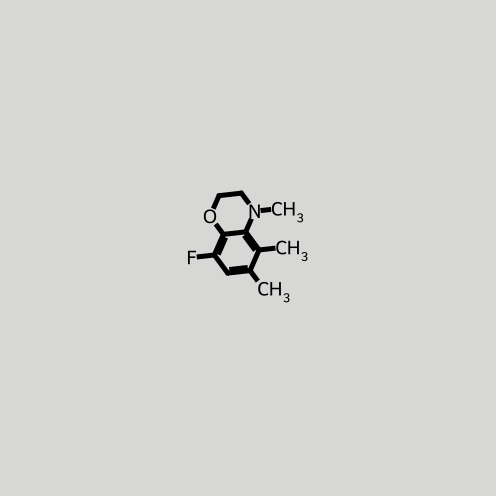 Cc1cc(F)c2c(c1C)N(C)CCO2